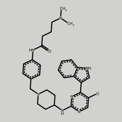 CN(C)CCCC(=O)Nc1ccc(CN2CCC(Nc3ncc(Cl)c(-c4c[nH]c5ccccc45)n3)CC2)cc1